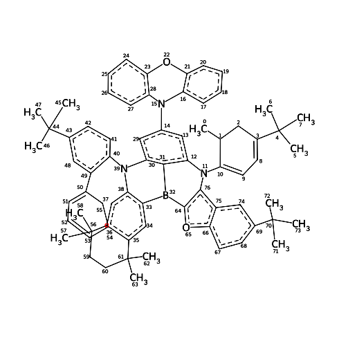 CC1CC(C(C)(C)C)=CC=C1N1c2cc(N3c4ccccc4Oc4ccccc43)cc3c2B(c2cc4c(cc2N3c2ccc(C(C)(C)C)cc2C2=CC=CCC2)C(C)(C)CCC4(C)C)c2oc3ccc(C(C)(C)C)cc3c21